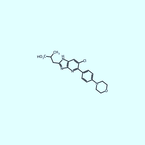 CC(Cc1nc2nc(-c3ccc(N4CCOCC4)cc3)c(Cl)cc2[nH]1)C(=O)O